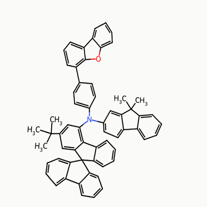 CC(C)(C)c1cc(N(c2ccc(-c3cccc4c3oc3ccccc34)cc2)c2ccc3c(c2)C(C)(C)c2ccccc2-3)c2c(c1)C1(c3ccccc3-c3ccccc31)c1ccccc1-2